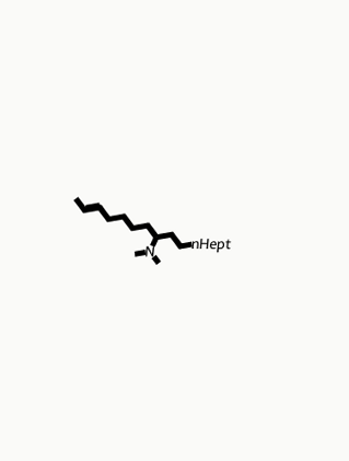 CC=CCCCCC(CCCCCCCCC)N(C)C